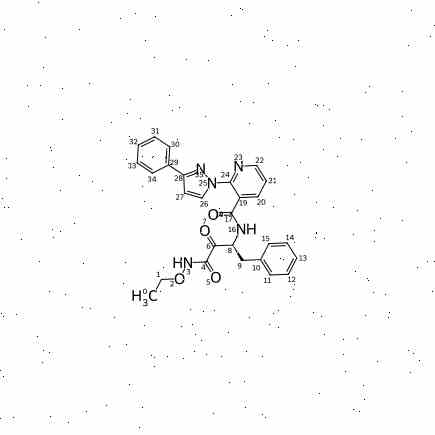 CCONC(=O)C(=O)[C@H](Cc1ccccc1)NC(=O)c1cccnc1-n1ccc(-c2ccccc2)n1